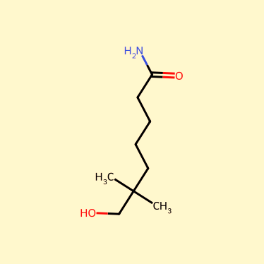 CC(C)(CO)CCCCC(N)=O